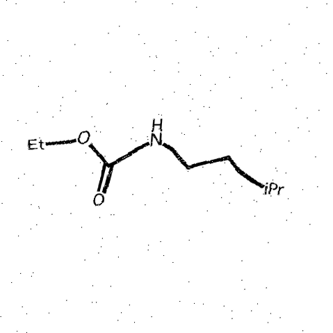 CCOC(=O)NCCC(C)C